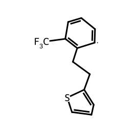 FC(F)(F)c1ccc[c]c1CCc1cccs1